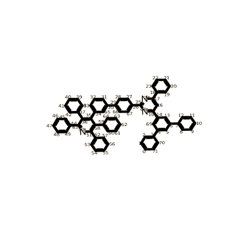 c1ccc(-c2cc(-c3ccccc3)cc(-c3cc(-c4ccccc4)nc(-c4ccc(-c5cccc(-c6c(-c7ccccc7)c(-c7ccccc7)nc(-c7ccccc7)c6-c6ccccc6)c5)cc4)n3)c2)cc1